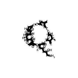 C=C1C[C@@H]2CCC34C[C@H]5O[C@H]6[C@@H](O3)[C@H]3OC(CC[C@@H]3O[C@H]6[C@H]5O4)CC(=O)C[C@H]3[C@H](CC4O[C@@H](CCC1O2)C[C@@H](C)C4=C)OC(CC(O)CN)[C@@H]3C